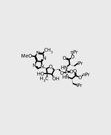 CCCOC(=O)[C@H](CC(C)C)NP(=O)(N[C@@H](CC(C)C)C(=O)OCCC)OC[C@H]1O[C@@H](n2cnc3c(OC)nc(C)nc32)[C@@](C)(O)C1O